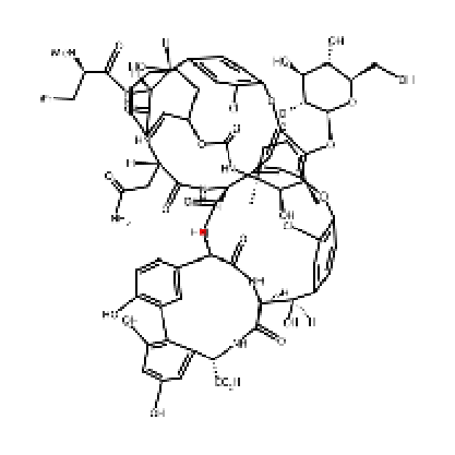 CN[C@H](CC(C)C)C(=O)N[C@H]1C(=O)N[C@@H](CC(N)=O)C(=O)N[C@H]2C(=O)N[C@H]3C(=O)N[C@H](C(=O)N[C@H](C(=O)O)c4cc(O)cc(O)c4-c4cc3ccc4O)[C@H](O)c3ccc(c(Cl)c3)Oc3cc2cc(c3O[C@@H]2O[C@H](CO)[C@@H](O)[C@H](O)[C@H]2O[C@H]2C[C@](C)(NC(=O)OC3/C=C/CCCCC3)[C@H](O)[C@H](C)O2)Oc2ccc(cc2Cl)[C@H]1O